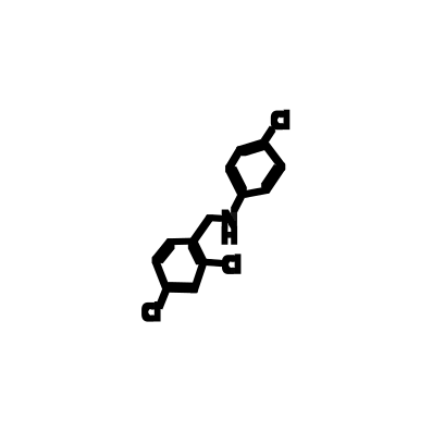 Clc1ccc(NCc2ccc(Cl)cc2Cl)cc1